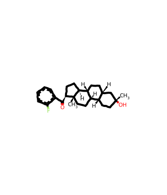 C[C@@]1(O)CC[C@H]2[C@H](CC[C@@H]3[C@@H]2CC[C@]2(C)[C@@H](C(=O)c4ccccc4F)CC[C@@H]32)C1